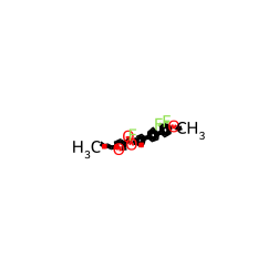 CCCCCC1CCC(C(=O)Oc2ccc(-c3ccc(-c4ccc(OCC)c(F)c4F)cc3)cc2F)CO1